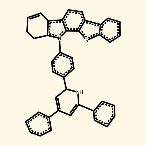 C1=Cc2c(n(-c3ccc(C4C=C(c5ccccc5)C=C(c5ccccc5)N4)cc3)c3c2ccc2c4ccccc4sc23)CC1